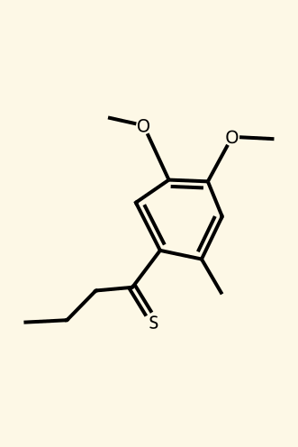 CCCC(=S)c1cc(OC)c(OC)cc1C